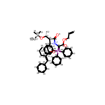 C=CCOC(=O)C(N1C(=O)[C@H]([C@@H](C)O[Si](C)(C)C(C)(C)C)[C@H]1[C@H]1CCC/C(=C\c2ccccc2)C1=O)=P(c1ccccc1)(c1ccccc1)c1ccccc1